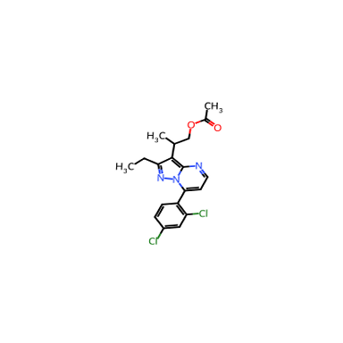 CCc1nn2c(-c3ccc(Cl)cc3Cl)ccnc2c1C(C)COC(C)=O